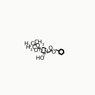 CC(C)(C)OC(=O)N1CCN(CC(=O)OCc2ccccc2)[C@H](CO)C1